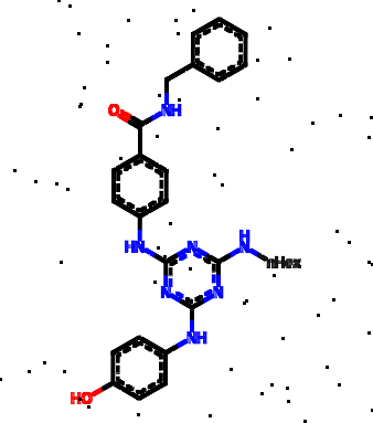 CCCCCCNc1nc(Nc2ccc(O)cc2)nc(Nc2ccc(C(=O)NCc3ccccc3)cc2)n1